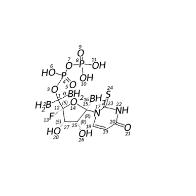 BC(B)(OP(=O)(O)OP(=O)(O)O)[C@@]1(F)O[C@@](B)(n2ccc(=O)[nH]c2=S)[C@H](O)[C@@H]1O